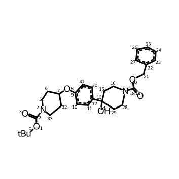 CC(C)(C)OC(=O)N1CCC(Oc2ccc(C3(O)CCN(C(=O)OCc4ccccc4)CC3)cc2)CC1